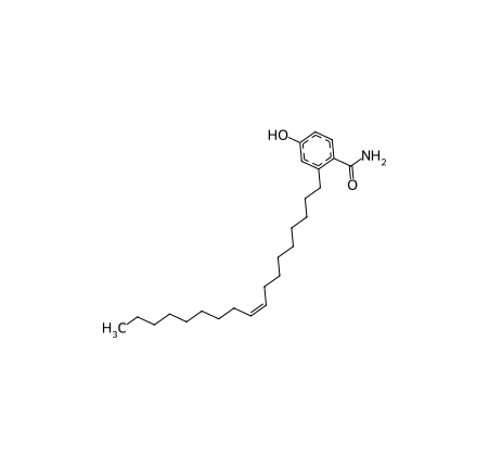 CCCCCCCC/C=C\CCCCCCCCc1cc(O)ccc1C(N)=O